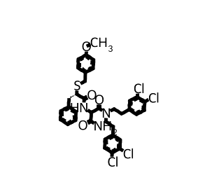 COc1ccc(CS[C@@H](Cc2ccccc2)C(=O)NC(C(N)=O)C(=O)N(CCc2ccc(Cl)c(Cl)c2)CCc2ccc(Cl)c(Cl)c2)cc1